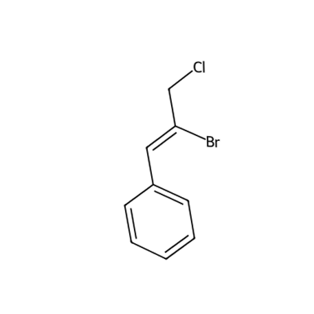 ClCC(Br)=Cc1ccccc1